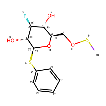 O[C@@H]1[C@@H](F)[C@H](O)[C@@H](COSI)O[C@H]1Sc1ccccc1